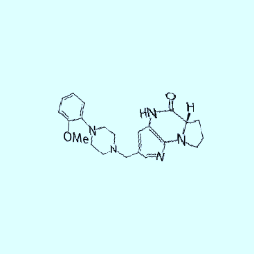 COc1ccccc1N1CCN(Cc2cnc3c(c2)NC(=O)[C@@H]2CCCN32)CC1